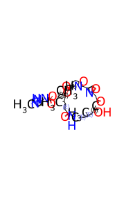 CC1=C\[C@@H](O)CC(=O)Cc2nc(co2)C(=O)N2CCC[C@@H]2C(=O)O[C@H]([C@@H](C)COC(=O)Nc2ccn(C)n2)C(C)/C=C/C(=O)NC\C=C\1